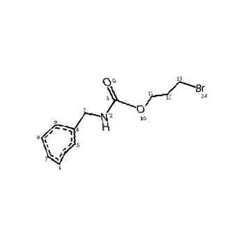 O=C(NCc1ccccc1)OCCCBr